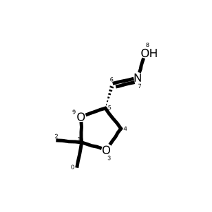 CC1(C)OC[C@@H](/C=N/O)O1